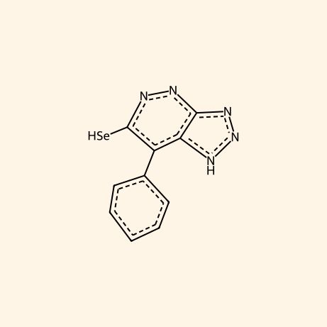 [SeH]c1nnc2nn[nH]c2c1-c1ccccc1